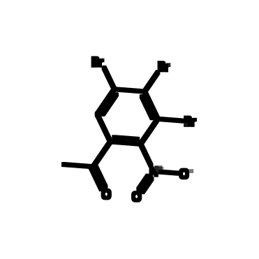 CC(=O)c1cc(Br)c(Br)c(Br)c1[N+](=O)[O-]